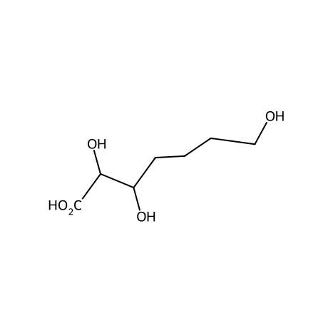 O=C(O)C(O)C(O)CCCCO